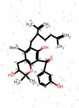 C=C(C)CCC(Cc1c(O)c(C(=O)c2cccc(O)c2)c2c(c1OC)CC(O)C(C)(C)O2)C(=C)C